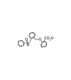 O=C(O)c1ccccc1OCc1ccccc1CS(=O)(=O)c1ccccc1